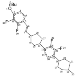 CCCCOc1ccc(/C=C/C2CCC(c3ccc(C4CCC(C)CC4)c(F)c3F)CC2)c(F)c1F